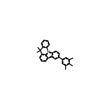 Cc1cc(-c2ccc3c(c2)c2cccc4c2n3-c2ccccc2C4(C)C)cc(C)c1C